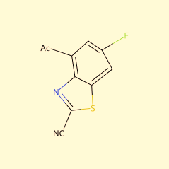 CC(=O)c1cc(F)cc2sc(C#N)nc12